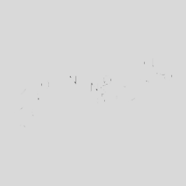 O=C(Cl)/C=C/c1cccc(S(=O)(=O)N2CCN(CCOc3ccc4ccccc4c3)CC2)c1